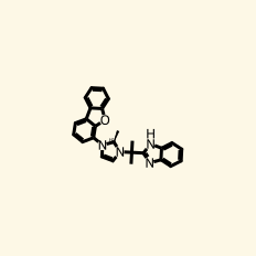 C[C@@H]1N(c2cccc3c2oc2ccccc23)C=CN1C(C)(C)c1nc2ccccc2[nH]1